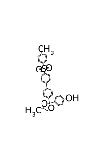 Cc1ccc(S(=O)(=O)c2ccc(-c3ccc(C4(c5ccc(O)cc5)OCC(C)O4)cc3)cc2)cc1